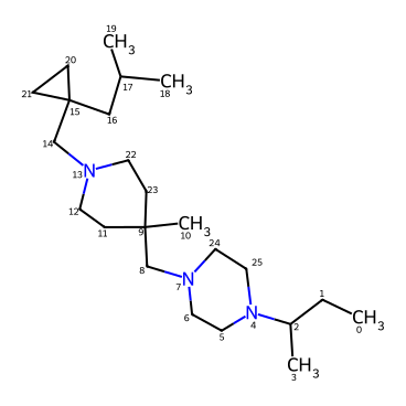 CCC(C)N1CCN(CC2(C)CCN(CC3(CC(C)C)CC3)CC2)CC1